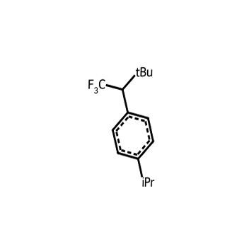 CC(C)c1ccc(C(C(C)(C)C)C(F)(F)F)cc1